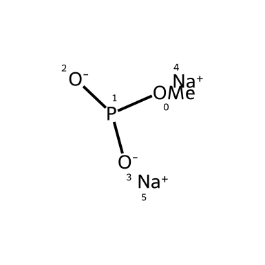 COP([O-])[O-].[Na+].[Na+]